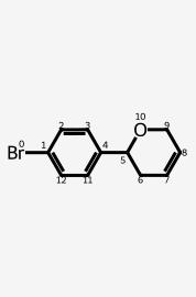 Brc1ccc(C2CC=CCO2)cc1